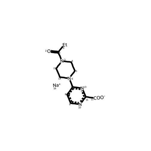 CCC(=O)N1CCN(c2ccnc(C(=O)[O-])n2)CC1.[Na+]